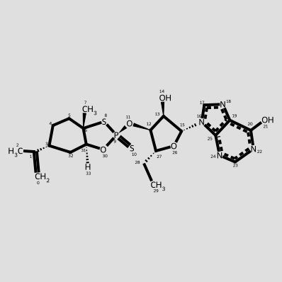 C=C(C)[C@@H]1CC[C@]2(C)S[P@@](=S)(O[C@H]3[C@@H](O)[C@H](n4cnc5c(O)ncnc54)O[C@@H]3CC)O[C@H]2C1